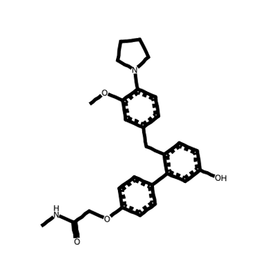 CNC(=O)COc1ccc(-c2cc(O)ccc2Cc2ccc(N3CCCC3)c(OC)c2)cc1